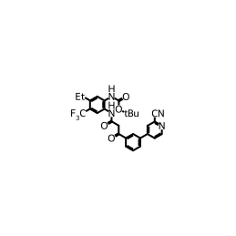 CCc1cc(NC(=O)OC(C)(C)C)c(NC(=O)CC(=O)c2cccc(-c3ccnc(C#N)c3)c2)cc1C(F)(F)F